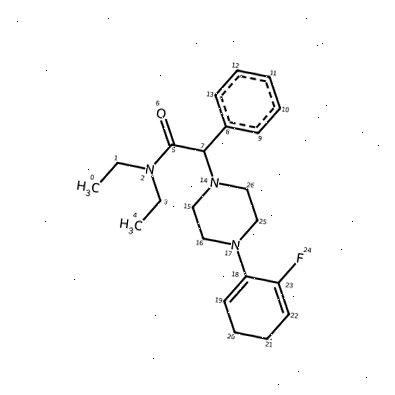 CCN(CC)C(=O)C(c1ccccc1)N1CCN(C2=CC[CH]C=C2F)CC1